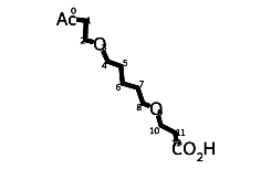 CC(=O)CCOCCCCCOCCC(=O)O